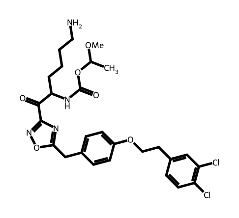 COC(C)OC(=O)NC(CCCCN)C(=O)c1noc(Cc2ccc(OCCc3ccc(Cl)c(Cl)c3)cc2)n1